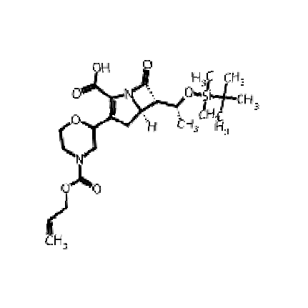 C=CCOC(=O)N1CCOC(C2=C(C(=O)O)N3C(=O)[C@H]([C@@H](C)O[Si](C)(C)C(C)(C)C)[C@H]3C2)C1